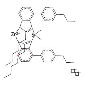 CCCCCCC1=C2c3c(-c4ccc(CCC)cc4)cccc3[CH]1[Zr+2][CH]1C(CCCCCC)=C(c3c(-c4ccc(CCC)cc4)cccc31)[Si]2(C)C.[Cl-].[Cl-]